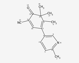 CC1=C(c2ccc(C)nc2)C=C(C#N)C(=O)C1(C)C